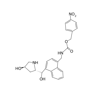 O=C(NCc1ccc(C(O)[C@@H]2C[C@@H](O)CN2)c2ccccc12)OCc1ccc([N+](=O)[O-])cc1